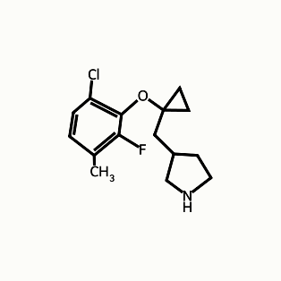 Cc1ccc(Cl)c(OC2(CC3CCNC3)CC2)c1F